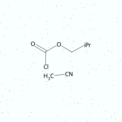 CC#N.CC(C)COC(=O)Cl